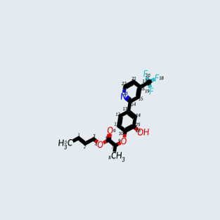 CCCCOC(=O)C(C)Oc1ccc(-c2cc(C(F)(F)F)ccn2)cc1O